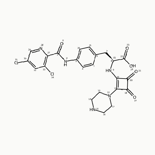 O=C(Nc1ccc(C[C@H](Nc2c(N3CCNCC3)c(=O)c2=O)C(=O)O)cc1)c1ncc(Cl)cc1Cl